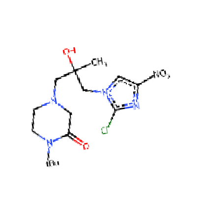 CC(O)(CN1CCN(C(C)(C)C)C(=O)C1)Cn1cc([N+](=O)[O-])nc1Cl